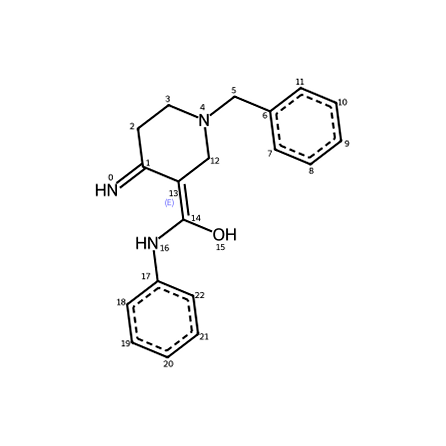 N=C1CCN(Cc2ccccc2)C/C1=C(\O)Nc1ccccc1